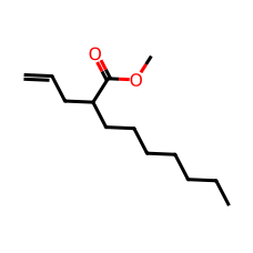 C=CCC(CCCCCCC)C(=O)OC